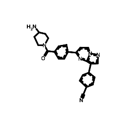 N#Cc1ccc(-c2cnn3ccc(-c4ccc(C(=O)N5CCC(N)CC5)cc4)nc23)cc1